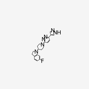 Fc1ccc2c(c1)N(C1CCN(c3ccc(-c4cn[nH]c4)nn3)CC1)CC2